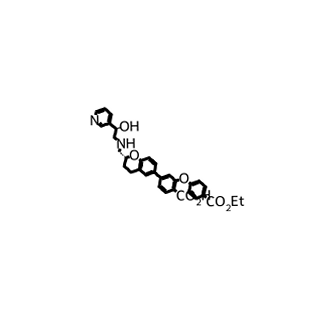 CCOC(=O)c1ccc(Oc2cc(-c3ccc4c(c3)CC[C@H](CNC[C@@H](O)c3cccnc3)O4)ccc2C(=O)O)cc1